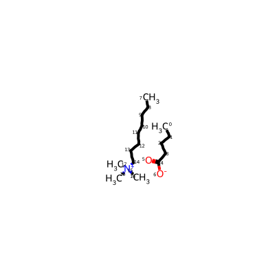 CCCCC(=O)[O-].CCCCCCCC[N+](C)(C)C